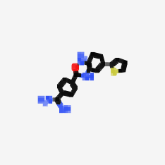 N=C(N)c1ccc(C(=O)Nc2cc(-c3cccs3)ccc2N)cc1